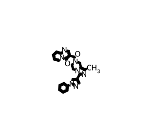 Cc1nc(-c2cnn(-c3ccccc3)c2)n2c1CN(C(=O)c1cnc3ccccn3c1=O)CC2